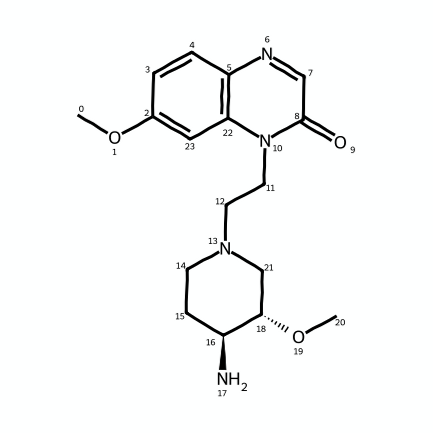 COc1ccc2ncc(=O)n(CCN3CC[C@H](N)[C@@H](OC)C3)c2c1